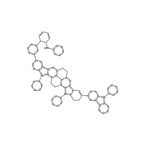 C1=CC(Nc2ccccc2)C(c2cccc(-c3ccc4c(c3)c3cc5c6c(c3n4-c3ccccc3)CCc3c-6c(cc4c6c(n(-c7ccccc7)c34)CCC(c3ccc4c(c3)c3ccccc3n4-c3ccccc3)=C6)CC5)c2)C=C1